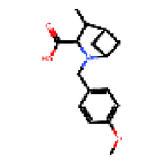 COc1ccc(CN2C3CC(C3)C(C)C2C(=O)O)cc1